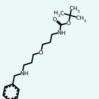 CC(C)(C)OC(=O)NCCCOCCCNCc1ccccc1